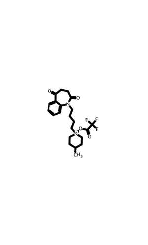 CC1CC[N+](CCCCN2C(=O)CCC(=O)c3ccccc32)(OC(=O)C(F)(F)F)CC1